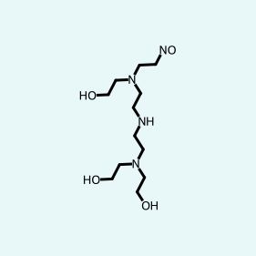 O=NCCN(CCO)CCNCCN(CCO)CCO